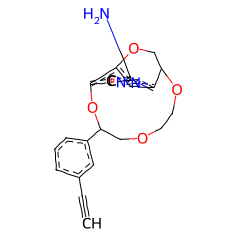 C#Cc1cccc(C2COCCOC3COc4cc3ncnc(N)ccc4O2)c1